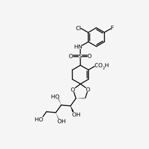 O=C(O)C1=CC2(CCC1S(=O)(=O)Nc1ccc(F)cc1Cl)OC[C@H]([C@@H](O)[C@@H](O)[C@H](O)CO)O2